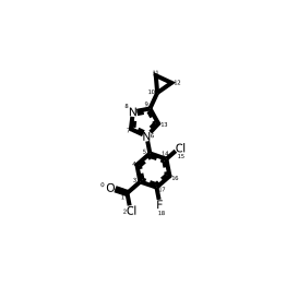 O=C(Cl)c1cc(-n2cnc(C3CC3)c2)c(Cl)cc1F